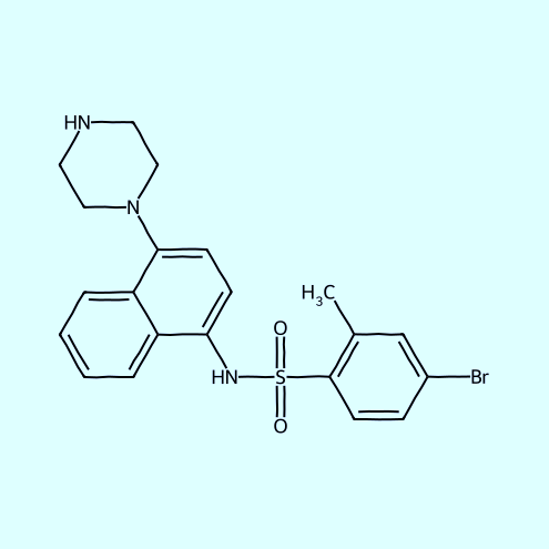 Cc1cc(Br)ccc1S(=O)(=O)Nc1ccc(N2CCNCC2)c2ccccc12